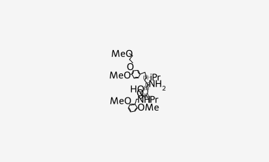 COCCCOc1cc(C[C@@H](C[C@H](N)[C@@H](O)C[C@H](C(=O)NCc2c(OC)cccc2OC)C(C)C)C(C)C)ccc1OC